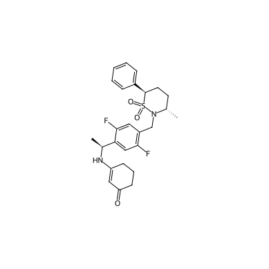 C[C@H](NC1=CC(=O)CCC1)c1cc(F)c(CN2[C@@H](C)CC[C@H](c3ccccc3)S2(=O)=O)cc1F